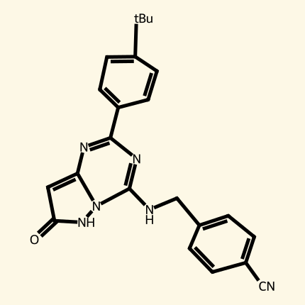 CC(C)(C)c1ccc(-c2nc(NCc3ccc(C#N)cc3)n3[nH]c(=O)cc3n2)cc1